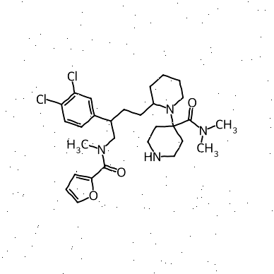 CN(C)C(=O)C1(N2CCCCC2CCC(CN(C)C(=O)c2ccco2)c2ccc(Cl)c(Cl)c2)CCNCC1